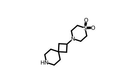 O=S1(=O)CCN(C2CC3(CCNCC3)C2)CC1